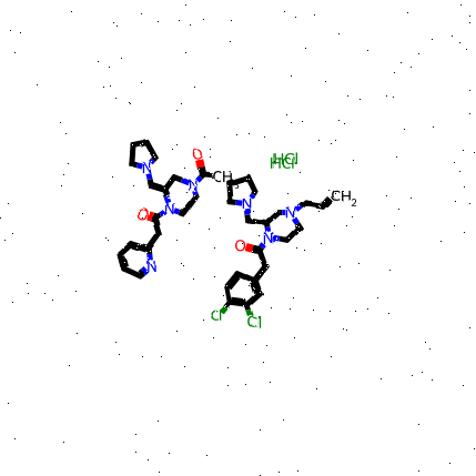 C=CCN1CCN(C(=O)Cc2ccc(Cl)c(Cl)c2)C(CN2CCCC2)C1.CC(=O)N1CCN(C(=O)Cc2ccccn2)C(CN2CCCC2)C1.Cl.Cl